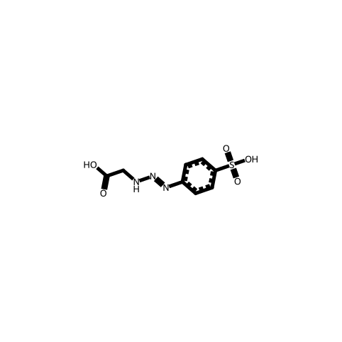 O=C(O)CNN=Nc1ccc(S(=O)(=O)O)cc1